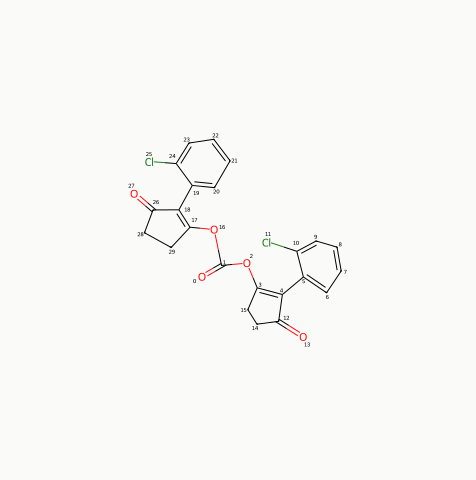 O=C(OC1=C(c2ccccc2Cl)C(=O)CC1)OC1=C(c2ccccc2Cl)C(=O)CC1